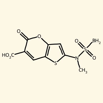 BS(=O)(=O)N(C)c1cc2oc(=O)c(C(=O)O)cc2s1